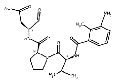 Cc1c(N)cccc1C(=O)N[C@H](C(=O)N1CCC[C@H]1C(=O)N[C@H](C=O)CC(=O)O)C(C)C